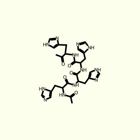 CC(=O)NC(Cc1cnc[nH]1)C(=O)NC(Cc1c[nH]cn1)C(=O)NC(Cc1cnc[nH]1)C(=O)NC(Cc1c[nH]cn1)C(C)=O